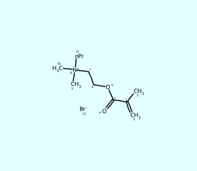 C=C(C)C(=O)OCC[N+](C)(C)CCC.[Br-]